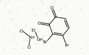 CCO.ClNCl.O=C1C=CC(Br)=C(Br)C1=O